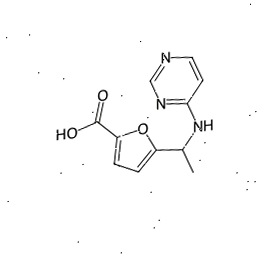 CC(Nc1ccncn1)c1ccc(C(=O)O)o1